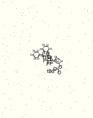 CC(C)(C)OC(=O)OC1CC2CC1C(C(F)(F)C(F)(F)S(=O)(=O)O[I+](c1ccccc1)c1ccccc1)C2